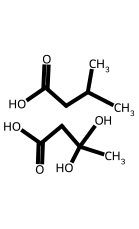 CC(C)CC(=O)O.CC(O)(O)CC(=O)O